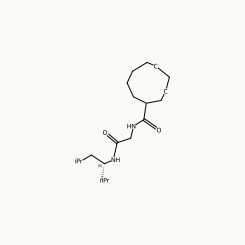 CCC[C@H](CC(C)C)NC(=O)CNC(=O)C1CCCCCCCC1